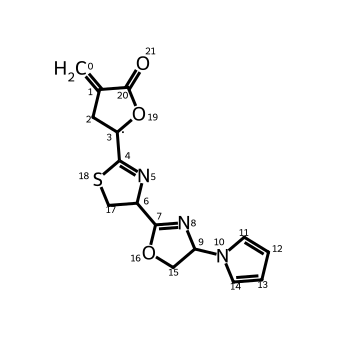 C=C1C[C](C2=NC(C3=NC(n4cccc4)CO3)CS2)OC1=O